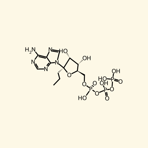 CCC[C@@]1(n2cnc3c(N)ncnc32)O[C@H](COP(=O)(O)OP(=O)(O)OP(=O)(O)O)[C@@H](O)[C@H]1O